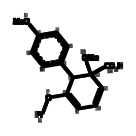 COc1ccc(C2C(OC(C)C)=CC=CC2(OC)C(=O)O)cc1